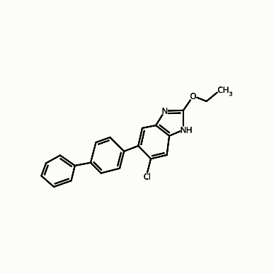 CCOc1nc2cc(-c3ccc(-c4ccccc4)cc3)c(Cl)cc2[nH]1